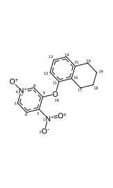 O=[N+]([O-])c1cc[n+]([O-])cc1Oc1cccc2c1CCCC2